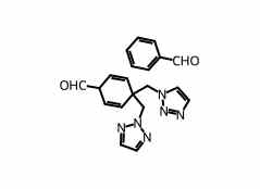 O=CC1C=CC(Cn2ccnn2)(Cn2nccn2)C=C1.O=Cc1ccccc1